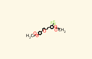 C=CC(=O)Oc1ccc(-c2ccc(/C=C/c3ccc(OC(=O)C=C)c(C(F)(F)F)c3)o2)cc1